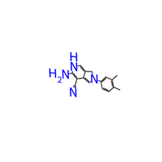 Cc1ccc(N2C=C3C(=CNC(N)=C3C#N)C2)cc1C